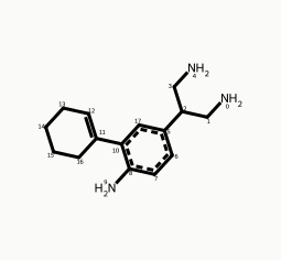 NCC(CN)c1ccc(N)c(C2=CCCCC2)c1